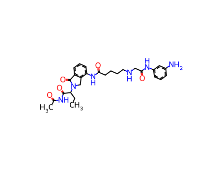 CCC(C(=O)NC(C)=O)N1Cc2c(NC(=O)CCCCNCC(=O)Nc3cccc(N)c3)cccc2C1=O